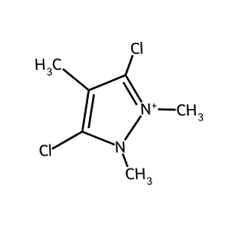 Cc1c(Cl)n(C)[n+](C)c1Cl